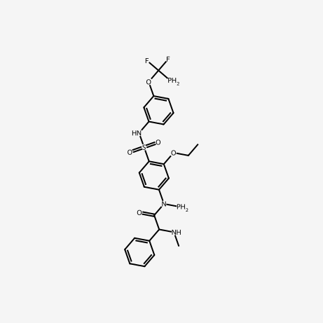 CCOc1cc(N(P)C(=O)C(NC)c2ccccc2)ccc1S(=O)(=O)Nc1cccc(OC(F)(F)P)c1